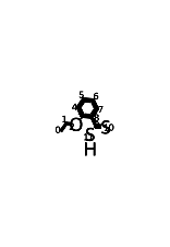 CCOc1ccccc1C(=S)S